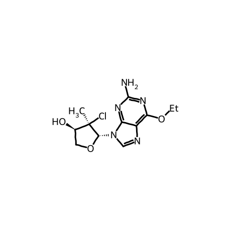 CCOc1nc(N)nc2c1ncn2[C@@H]1OC[C@@H](O)[C@@]1(C)Cl